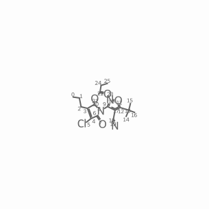 CCCC1=C(Cl)C(=O)N(c2noc(C(C)(C)C)c2C#N)C1OC(=O)CC